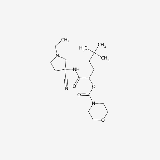 CCN1CCC(C#N)(NC(=O)C(CCC(C)(C)C)OC(=O)N2CCOCC2)C1